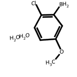 Bc1cc(OC)ccc1Cl.O.O